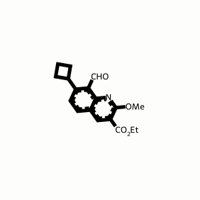 CCOC(=O)c1cc2ccc(C3CCC3)c(C=O)c2nc1OC